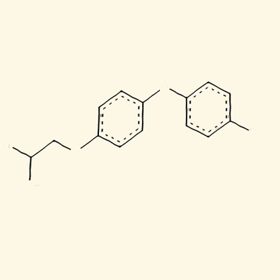 CCC(O)COc1ccc(Oc2ccc(F)cc2)cc1